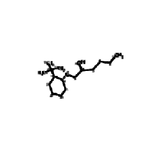 CCCCC(O)CO[C@@H]1CCCC[C@H]1C(C)(C)C